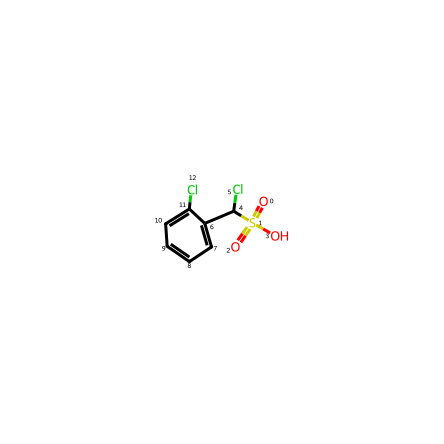 O=S(=O)(O)C(Cl)c1ccccc1Cl